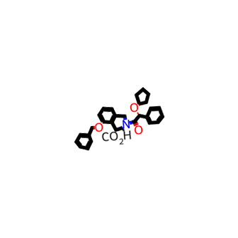 O=C(O)[C@H]1Cc2c(cccc2OCc2ccccc2)CN1C(=O)[C@H](OC1CCCC1)c1ccccc1